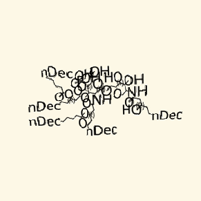 CCCCCCCCCCCCCCC(=O)O[C@H](CCCCCCCCCCCC)CC(=O)NC1C(OC(=O)C[C@@H](CCCCCCCCCCCC)OC(=O)CCCCCCCCCCCCCC)[C@H](OP(=O)(O)O)C(CO)O[C@H]1OCC1OCC(NC(=O)C[C@H](O)CCCCCCCCCCCC)C(O)[C@@H]1O